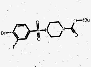 CC(C)(C)OC(=O)N1CCN(S(=O)(=O)c2ccc(Br)c(F)c2)CC1